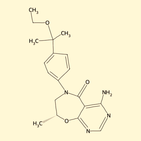 CCOC(C)(C)c1ccc(N2C[C@@H](C)Oc3ncnc(N)c3C2=O)cc1